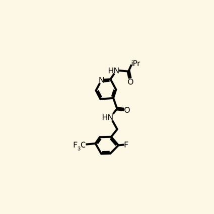 CC(C)C(=O)Nc1cc(C(=O)NCc2cc(C(F)(F)F)ccc2F)ccn1